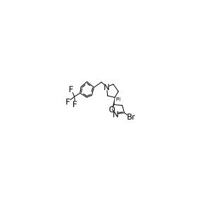 FC(F)(F)c1ccc(CN2CC[C@@H](C3CC(Br)=NO3)C2)cc1